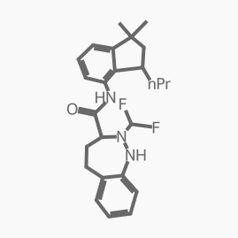 CCCC1CC(C)(C)c2cccc(NC(=O)C3CCc4ccccc4NN3C(F)F)c21